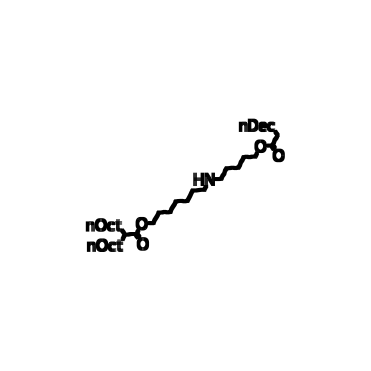 CCCCCCCCCCCC(=O)OCCCCCNCCCCCCCOC(=O)C(CCCCCCCC)CCCCCCCC